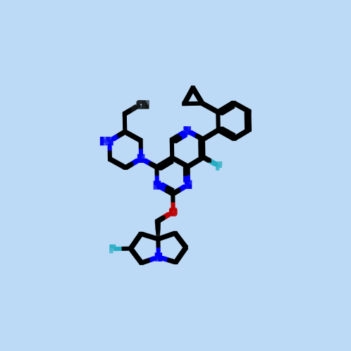 N#CCC1CN(c2nc(OC[C@@]34CCCN3CC(F)C4)nc3c(F)c(-c4ccccc4C4CC4)ncc23)CCN1